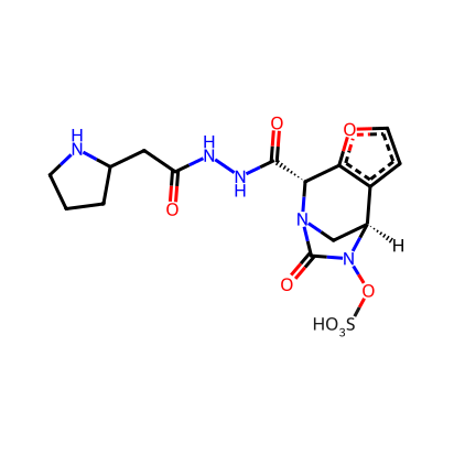 O=C(CC1CCCN1)NNC(=O)[C@@H]1c2occc2[C@@H]2CN1C(=O)N2OS(=O)(=O)O